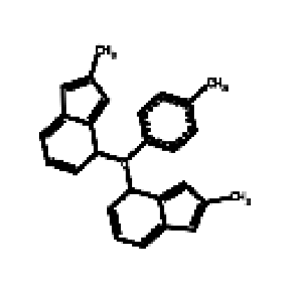 CC1=CC2=CC=CC(N(c3ccc(C)cc3)C3C=CC=C4C=C(C)C=C43)C2=C1